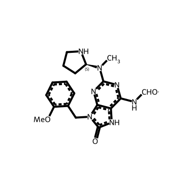 COc1ccccc1Cn1c(=O)[nH]c2c(N[C]=O)nc(N(C)[C@H]3CCCN3)nc21